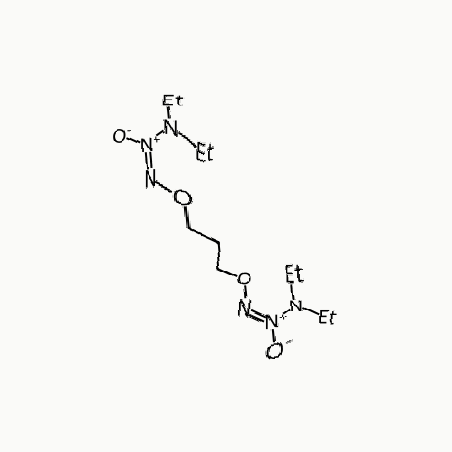 CCN(CC)/[N+]([O-])=N\OCCCO/N=[N+](/[O-])N(CC)CC